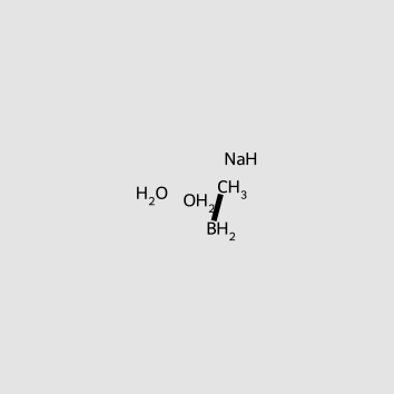 BC.O.O.[NaH]